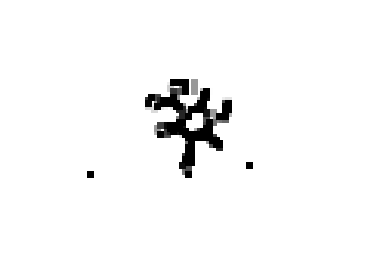 CCO/C(C)=C(/C#N)C(=O)N(CC)C(=O)O